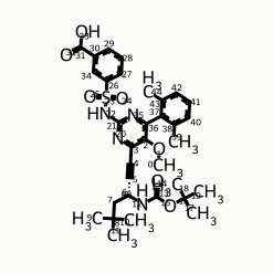 COc1c(C#C[C@@H](CC(C)(C)C)NC(=O)OC(C)(C)C)nc(NS(=O)(=O)c2cccc(C(=O)O)c2)nc1-c1c(C)cccc1C